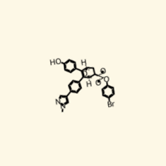 Cn1cc(-c2ccc(C3=C(c4ccc(O)cc4)[C@H]4CC(S(=O)(=O)Oc5ccc(Br)cc5)[C@@H]3O4)cc2)cn1